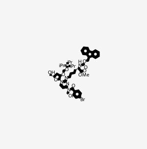 COC(=O)[C@H](CCCC/N=c1\nc(N(CO)C(=O)c2ccc(Br)cc2)ccn1[C@@H]1O[C@H](CO)CC1OCO[Si](C(C)C)(C(C)C)C(C)C)NC(=O)OCC1c2ccccc2-c2ccccc21